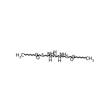 CCCCCCCCCOC(=O)CCSCCCC(=N)NCCNCCNC(=N)CCCSCCC(=O)OCCCCCCCCC